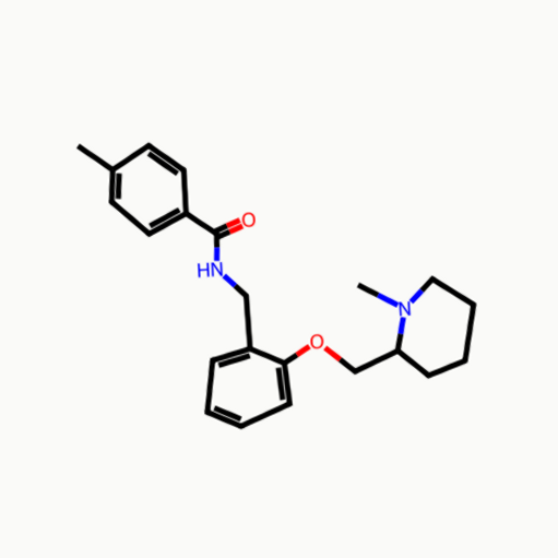 Cc1ccc(C(=O)NCc2ccccc2OCC2CCCCN2C)cc1